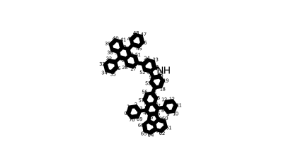 c1ccc(-c2c3c(c(-c4ccccc4)c4cc(-c5ccc6[nH]c7ccc(-c8ccc9c(-c%10ccccc%10)c%10ccccc%10c(-c%10ccccc%10)c9c8)cc7c6c5)ccc24)-c2cccc4cccc-3c24)cc1